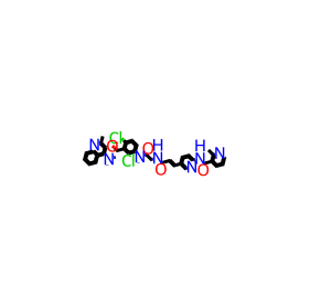 Cc1ncccc1C(=O)Nc1ccc(C=CC(=O)NCC(=O)N(C)c2ccc(Cl)c(COc3c(C)nc4ccccc4c3N(C)C)c2Cl)cn1